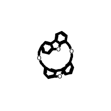 c1cc2c3oc4ccc(cc4c3c1)COCc1ccc3oc4c(cccc4c3c1)COC2